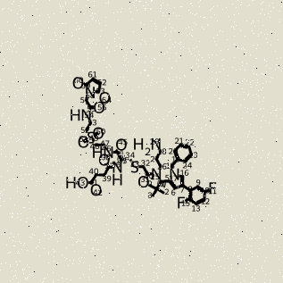 CC(C)(C)[C@H](c1cc(-c2cc(F)ccc2F)cn1Cc1ccccc1)N(CCCN)C(=O)CSC[C@H](NC(=O)CCC(=O)O)C(=O)NCCS(=O)(=O)CCNC(=O)CN1C(=O)C=CC1=O